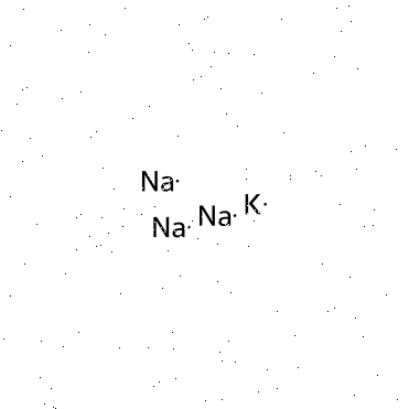 [K].[Na].[Na].[Na]